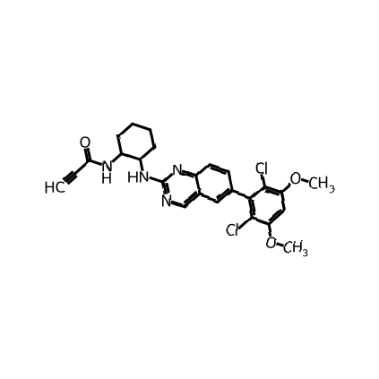 C#CC(=O)NC1CCCCC1Nc1ncc2cc(-c3c(Cl)c(OC)cc(OC)c3Cl)ccc2n1